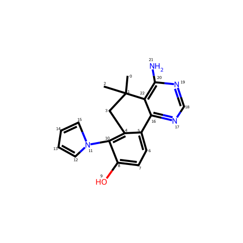 CC1(C)Cc2c(ccc(O)c2-n2cccc2)-c2ncnc(N)c21